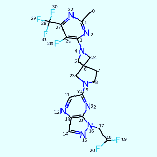 Cc1nc(N2CC3(CCN(c4cnc5cnn(CC(F)F)c5n4)C3)C2)c(F)c(C(F)(F)F)n1